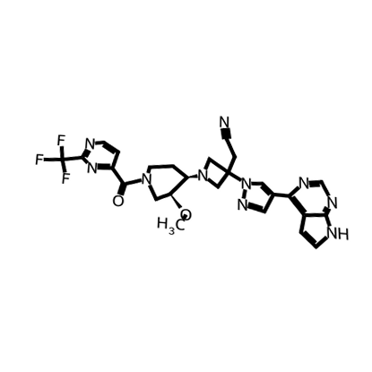 CO[C@H]1CN(C(=O)c2ccnc(C(F)(F)F)n2)CC[C@H]1N1CC(CC#N)(n2cc(-c3ncnc4[nH]ccc34)cn2)C1